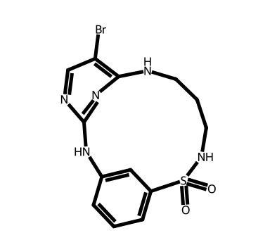 O=S1(=O)NCCCNc2nc(ncc2Br)Nc2cccc1c2